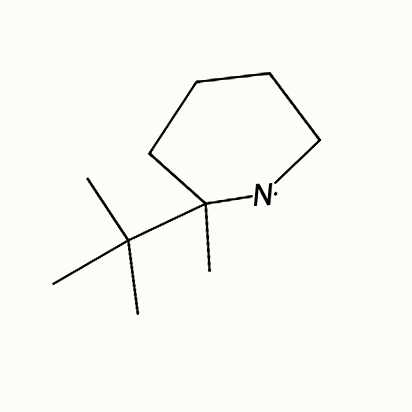 CC(C)(C)C1(C)CCCC[N]1